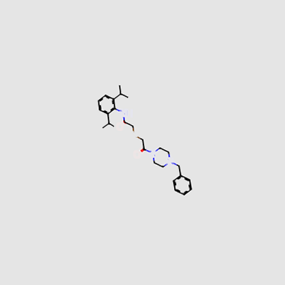 CC(C)c1cccc(C(C)C)c1NC(=O)CSCC(=O)N1CCN(Cc2ccccc2)CC1.Cl